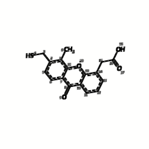 Cc1c(CS)ccc2c(=O)c3cccc(CC(=O)O)c3oc12